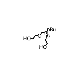 CCCCN(COCCO)OCCO